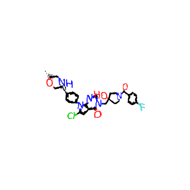 C[C@@H]1CN[C@@H](c2ccc(-n3c(Cl)cc4c(=O)n(CC5(O)CCN(C(=O)c6ccc(F)cc6)CC5)cnc43)cc2)CO1